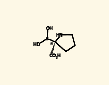 O=C(O)[C@@]1(B(O)O)CCCN1